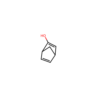 OC1=CC2C=CC1C2